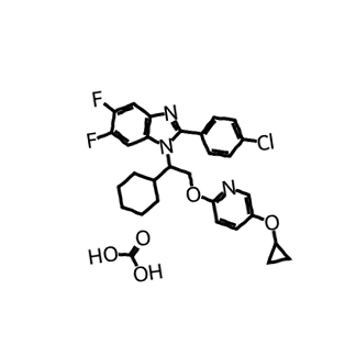 Fc1cc2nc(-c3ccc(Cl)cc3)n(C(COc3ccc(OC4CC4)cn3)C3CCCCC3)c2cc1F.O=C(O)O